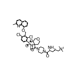 Cc1ccc2cccc(OCc3c(Cl)ccc(S(=O)(=O)NC4(C(=O)N5CCN(C(=O)[C@@H](N)CCC[N+](C)(C)C)CC5)CCOCC4)c3Cl)c2n1